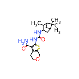 CC1C(NC(=O)Nc2sc3c(c2C(N)=O)CCOC3)CC2CC1C2(C)C